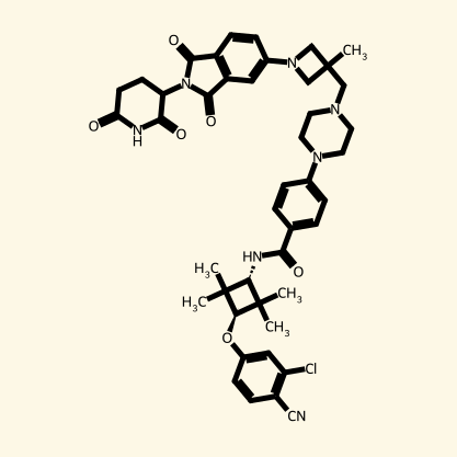 CC1(CN2CCN(c3ccc(C(=O)N[C@H]4C(C)(C)[C@H](Oc5ccc(C#N)c(Cl)c5)C4(C)C)cc3)CC2)CN(c2ccc3c(c2)C(=O)N(C2CCC(=O)NC2=O)C3=O)C1